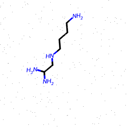 NCCCCNCC(N)N